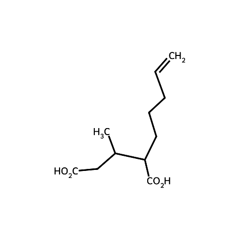 C=CCCCC(C(=O)O)C(C)CC(=O)O